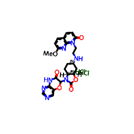 COc1ccc2ccc(=O)n(CCN[C@H]3CC[C@H]4[C@@H](C3)OC(=O)N4C3Oc4cncnc4NC3=O)c2n1.Cl.Cl